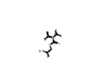 CC(O)CSC(=S)N(C(C)C)C(C)C